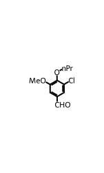 CCCOc1c(Cl)cc(C=O)cc1OC